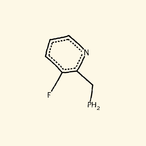 Fc1cccnc1CP